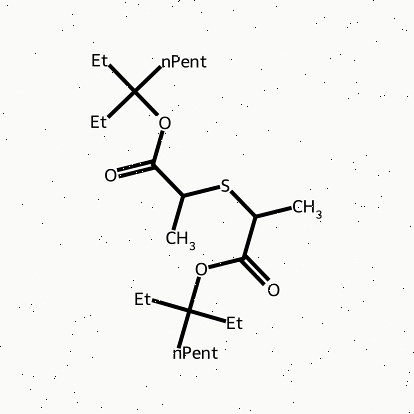 CCCCCC(CC)(CC)OC(=O)C(C)SC(C)C(=O)OC(CC)(CC)CCCCC